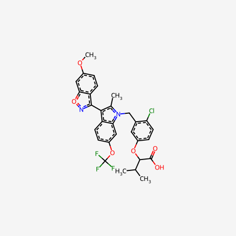 COc1ccc2c(-c3c(C)n(Cc4cc(OC(C(=O)O)C(C)C)ccc4Cl)c4cc(OC(F)(F)F)ccc34)noc2c1